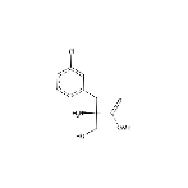 COC(=O)[C@](N)(CO)Cc1cccc(Cl)c1